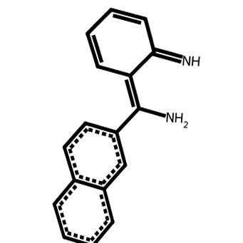 N=C1C=CC=C/C1=C(/N)c1ccc2ccccc2c1